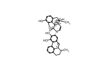 CN1CCc2cccc3c2[C@H]1Cc1cc([C@H]2C=C[C@H]4[C@H]5Cc6ccc(O)c7c6[C@@]4(CCN5C)[C@H]2O7)c(O)c(O)c1-3